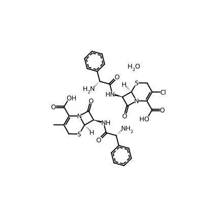 CC1=C(C(=O)O)N2C(=O)[C@@H](NC(=O)[C@H](N)c3ccccc3)[C@H]2SC1.N[C@@H](C(=O)N[C@@H]1C(=O)N2C(C(=O)O)=C(Cl)CS[C@H]12)c1ccccc1.O